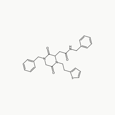 O=C(CC1C(=O)N(Cc2ccccc2)CC(=O)N1CCc1cccs1)NCc1ccccc1